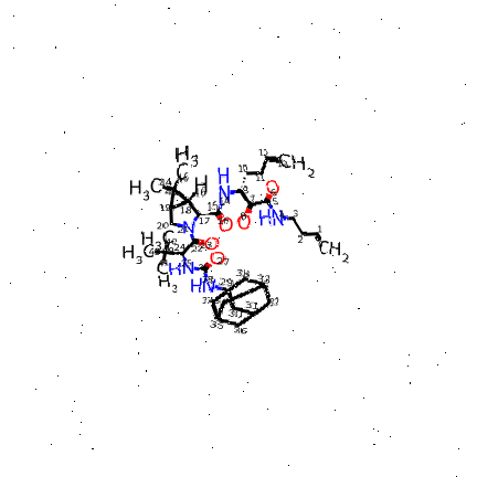 C=CCCNC(=O)C(=O)[C@@H](CCC=C)NC(=O)[C@@H]1[C@@H]2C(CN1C(=O)[C@@H](NC(=O)NC13CC4CC(CC(C4)C1)C3)C(C)(C)C)C2(C)C